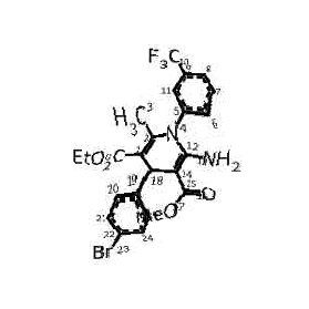 CCOC(=O)C1=C(C)N(c2cccc(C(F)(F)F)c2)C(N)=C(C(=O)OC)C1c1ccc(Br)cc1